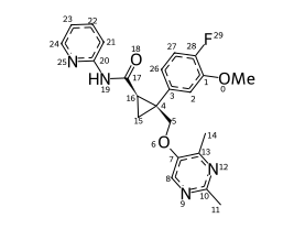 COc1cc([C@]2(COc3cnc(C)nc3C)C[C@H]2C(=O)Nc2ccccn2)ccc1F